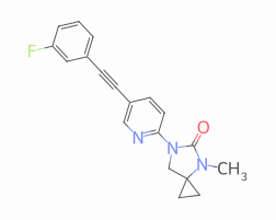 CN1C(=O)N(c2ccc(C#Cc3cccc(F)c3)cn2)CC12CC2